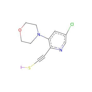 Clc1cnc(C#CSI)c(N2CCOCC2)c1